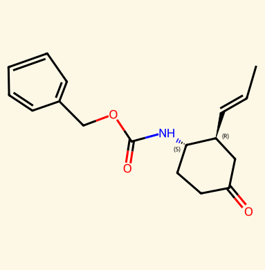 CC=C[C@H]1CC(=O)CC[C@@H]1NC(=O)OCc1ccccc1